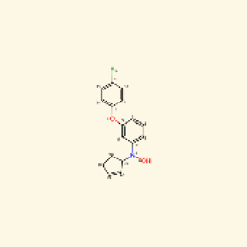 ON(c1cccc(Oc2ccc(F)cc2)c1)C1C=CCC1